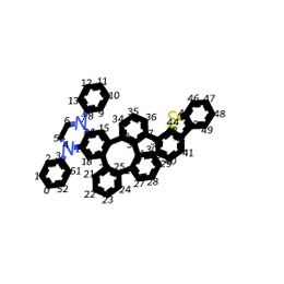 c1ccc(N2CCN(c3ccccc3)c3cc4c(cc32)-c2ccccc2-c2ccccc2-c2c-4cccc2-c2cccc3c2sc2ccccc23)cc1